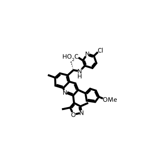 COc1ccc(-c2cc3c([C@H](C)Nc4ccc(Cl)nc4C(=O)O)cc(C)cc3nc2-c2c(C)noc2C)cc1